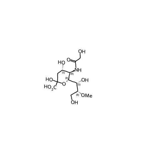 CO[C@H](CO)[C@@H](O)[C@@H]1OC(O)(C(=O)O)C[C@H](O)[C@H]1NC(=O)CO